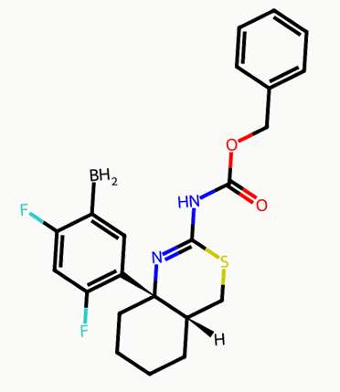 Bc1cc([C@]23CCCC[C@H]2CSC(NC(=O)OCc2ccccc2)=N3)c(F)cc1F